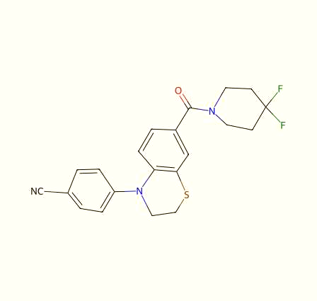 N#Cc1ccc(N2CCSc3cc(C(=O)N4CCC(F)(F)CC4)ccc32)cc1